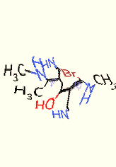 CN/C(Br)=C(\C=N)C(O)/C(C=N)=C(\C)NC